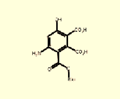 CC(C)(C)OC(=O)c1c(N)cc(O)c(C(=O)O)c1C(=O)O